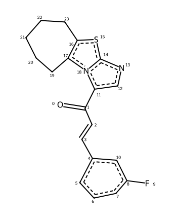 O=C(C=Cc1cccc(F)c1)c1cnc2sc3c(n12)CCCCC3